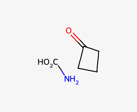 NC(=O)O.O=C1CCC1